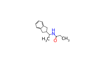 CCC(=O)NC(C)C1Cc2ccccc2C1